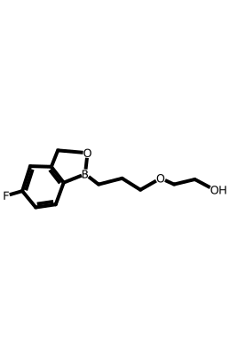 OCCOCCCB1OCc2cc(F)ccc21